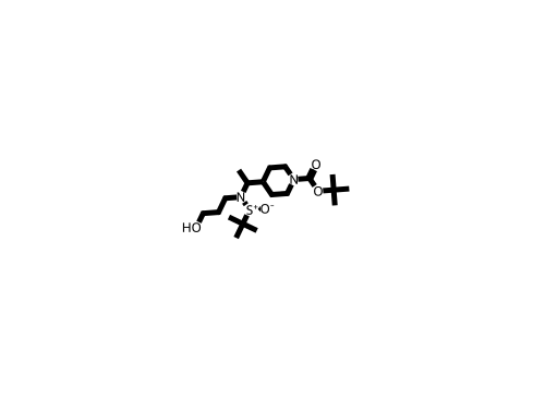 CC(C1CCN(C(=O)OC(C)(C)C)CC1)N(CCCO)[S@@+]([O-])C(C)(C)C